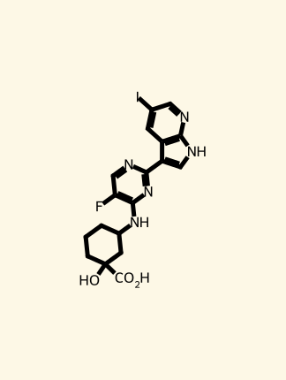 O=C(O)C1(O)CCCC(Nc2nc(-c3c[nH]c4ncc(I)cc34)ncc2F)C1